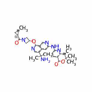 C[C@@H]1C[C@@H]1C(=O)N1CC(Oc2ncc(C(C)(C)N)c3cc(Nc4ccc5c(n4)[C@@H](C)C(C)(C)OC5=O)ncc23)C1